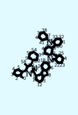 Cc1ccccc1-c1nc(-c2cccc3c2-c2ccc(-n4c5ccccc5c5c6c7ccccc7n(-c7ccccc7)c6ccc54)cc2C3)nc(-c2ccccc2)c1C